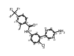 Cc1nc(C(F)(F)F)ccc1C(=O)Nc1ccc(Cl)c(-c2cnc(N)cn2)c1